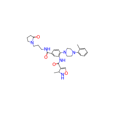 Cc1ccccc1N1CCN(c2ccc(C(=O)NCCCN3CCCC3=O)cc2NC(=O)C2=CONC2C)CC1